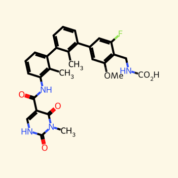 COc1cc(-c2cccc(-c3cccc(NC(=O)c4c[nH]c(=O)n(C)c4=O)c3C)c2C)cc(F)c1CNC(=O)O